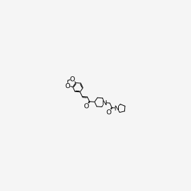 O=C(/C=C/c1ccc2c(c1)OCO2)C1CCN(CC(=O)N2CCCC2)CC1